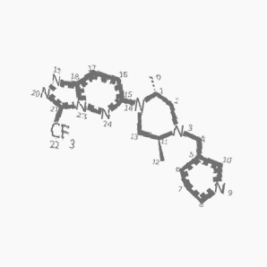 C[C@@H]1CN(Cc2cccnc2)[C@@H](C)CN1c1ccc2nnc(C(F)(F)F)n2n1